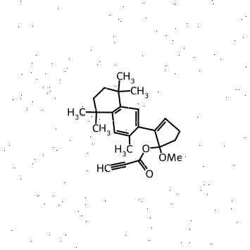 C#CC(=O)OC1(OC)CCC=C1c1cc2c(cc1C)C(C)(C)CCC2(C)C